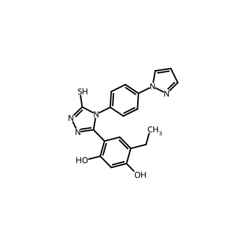 CCc1cc(-c2nnc(S)n2-c2ccc(-n3cccn3)cc2)c(O)cc1O